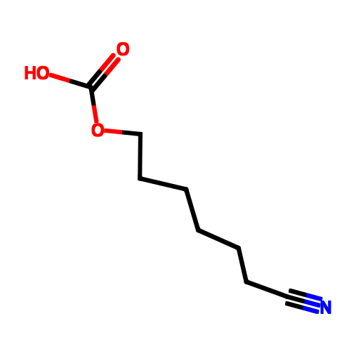 N#CCCCCCCOC(=O)O